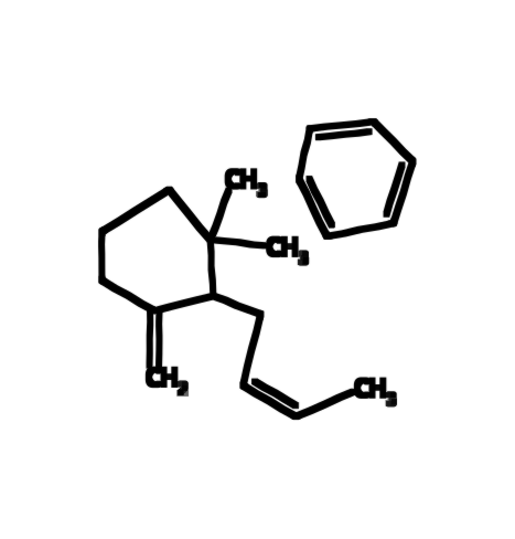 C=C1CCCC(C)(C)C1C/C=C\C.c1ccccc1